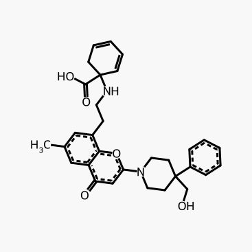 Cc1cc(CCNC2(C(=O)O)C=CC=CC2)c2oc(N3CCC(CO)(c4ccccc4)CC3)cc(=O)c2c1